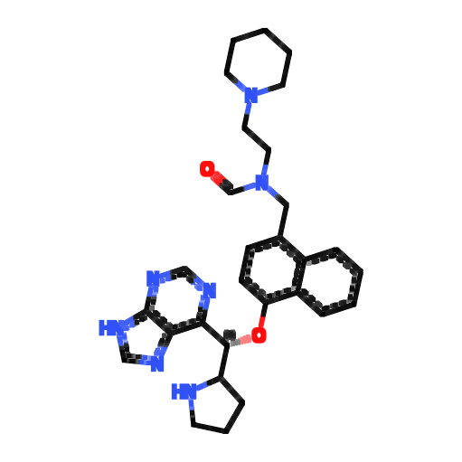 O=CN(CCN1CCCCC1)Cc1ccc(O[C@@H](c2ncnc3[nH]cnc23)C2CCCN2)c2ccccc12